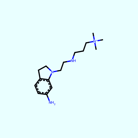 C[N+](C)(C)CCCNCCN1CCc2ccc(N)cc21